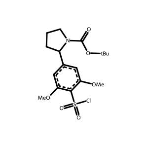 COc1cc(C2CCCN2C(=O)OC(C)(C)C)cc(OC)c1S(=O)(=O)Cl